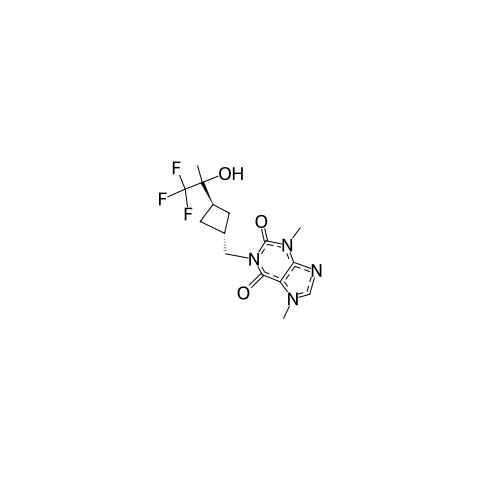 Cn1cnc2c1c(=O)n(C[C@H]1C[C@H](C(C)(O)C(F)(F)F)C1)c(=O)n2C